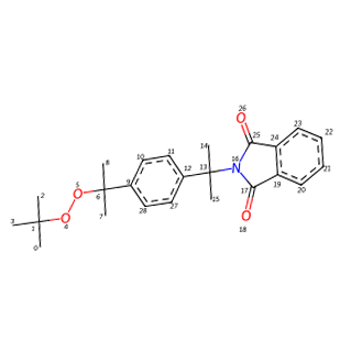 CC(C)(C)OOC(C)(C)c1ccc(C(C)(C)N2C(=O)c3ccccc3C2=O)cc1